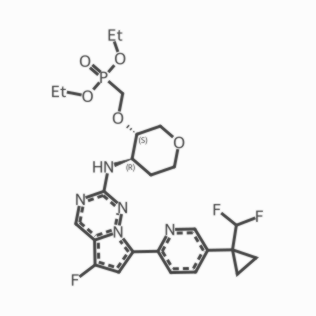 CCOP(=O)(CO[C@@H]1COCC[C@H]1Nc1ncc2c(F)cc(-c3ccc(C4(C(F)F)CC4)cn3)n2n1)OCC